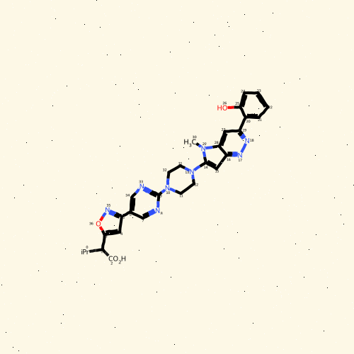 CC(C)C(C(=O)O)c1cc(-c2cnc(N3CCN(c4cc5nnc(-c6ccccc6O)cc5n4C)CC3)nc2)no1